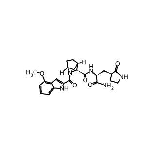 COc1cccc2[nH]c(C(=O)N3[C@@H]4CC[C@@H](C4)[C@H]3C(=O)N[C@@H](C[C@@H]3CCNC3=O)C(N)=O)cc12